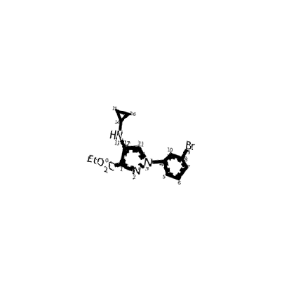 CCOC(=O)c1nn(-c2cccc(Br)c2)cc1NC1CC1